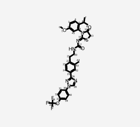 COc1ccc(C(C)C)c(N2C(=O)CSC2=NC(=O)NCCc2ccc(-c3ncn(-c4ccc(OC(F)(F)F)cc4)n3)cc2C)c1